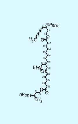 C=C=C=C=CC(CCCCC)CCOC(=O)CCCCCCCC(CCCCCCCC(=O)OCCC(C)CCCCC)CN(C)CC